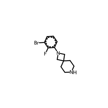 Fc1c(Br)cccc1N1CC2(CCNCC2)C1